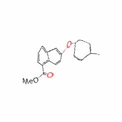 COC(=O)c1cccc2cc(OC3CCC(C)CC3)ccc12